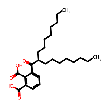 CCCCCCCCC(CCCCCCCC)C(=O)c1cccc(C(=O)O)c1C(=O)O